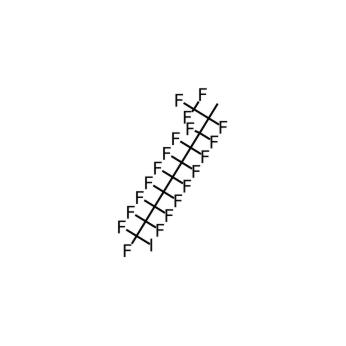 CC(F)(C(F)(F)F)C(F)(F)C(F)(F)C(F)(F)C(F)(F)C(F)(F)C(F)(F)C(F)(F)C(F)(F)I